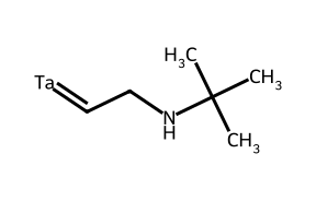 CC(C)(C)NC[CH]=[Ta]